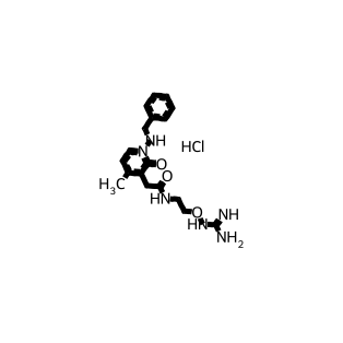 Cc1ccn(NCc2ccccc2)c(=O)c1CC(=O)NCCONC(=N)N.Cl